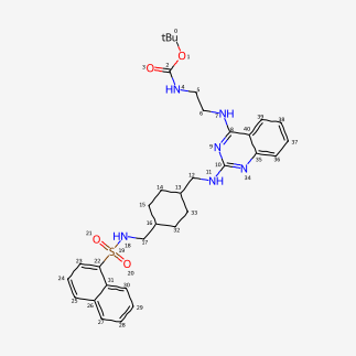 CC(C)(C)OC(=O)NCCNc1nc(NCC2CCC(CNS(=O)(=O)c3cccc4ccccc34)CC2)nc2ccccc12